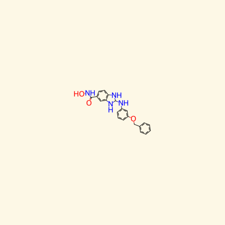 O=C(NO)c1ccc2c(c1)NC(Nc1cccc(OCc3ccccc3)c1)N2